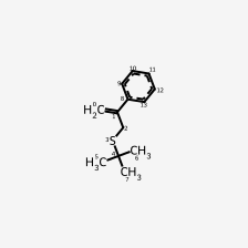 C=C(CSC(C)(C)C)c1ccccc1